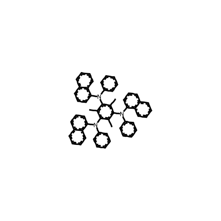 Cc1c(N(c2ccccc2)c2cccc3ccccc23)c(C)c(N(c2ccccc2)c2cccc3ccccc23)c(C)c1N(c1ccccc1)c1cccc2ccccc12